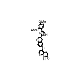 COc1ncc(-c2c[nH]c(C3COc4ccc(Oc5ccnc6c5CCC(=O)N6)cc4C3)n2)c(OC)n1